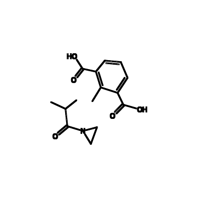 CC(C)C(=O)N1CC1.Cc1c(C(=O)O)cccc1C(=O)O